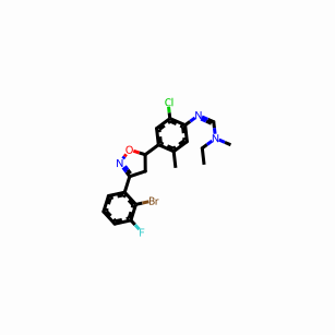 CCN(C)/C=N\c1cc(C)c(C2CC(c3cccc(F)c3Br)=NO2)cc1Cl